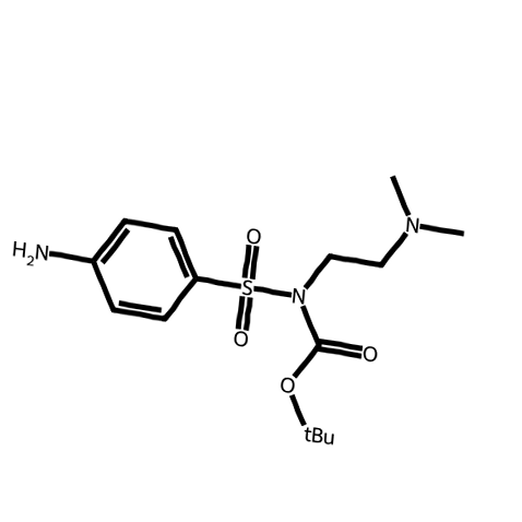 CN(C)CCN(C(=O)OC(C)(C)C)S(=O)(=O)c1ccc(N)cc1